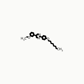 CCCCCCCCOc1ccc(-c2ncc(-c3cccc(OCC)c3)cn2)cc1